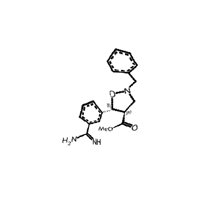 COC(=O)[C@@H]1CN(Cc2ccccc2)O[C@H]1c1cccc(C(=N)N)c1